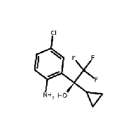 Nc1ccc(Cl)cc1[C@@](O)(C1CC1)C(F)(F)F